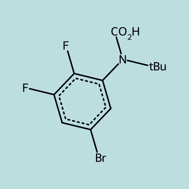 CC(C)(C)N(C(=O)O)c1cc(Br)cc(F)c1F